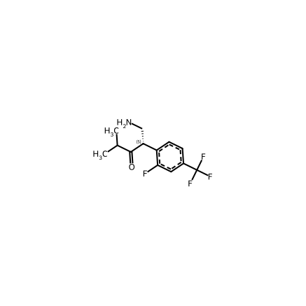 CC(C)C(=O)[C@H](CN)c1ccc(C(F)(F)F)cc1F